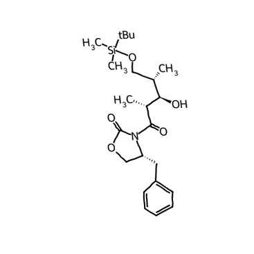 C[C@@H](CO[Si](C)(C)C(C)(C)C)[C@@H](O)[C@@H](C)C(=O)N1C(=O)OC[C@H]1Cc1ccccc1